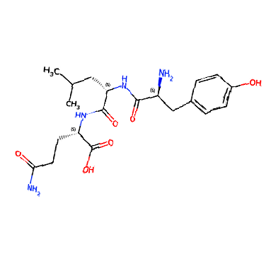 CC(C)C[C@H](NC(=O)[C@@H](N)Cc1ccc(O)cc1)C(=O)N[C@@H](CCC(N)=O)C(=O)O